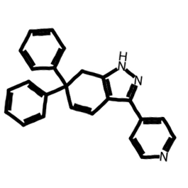 C1=CC(c2ccccc2)(c2ccccc2)Cc2[nH]nc(-c3ccncc3)c21